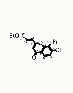 CCCc1c(O)ccc2c(=O)cc(/C=C/C(=O)OCC)oc12